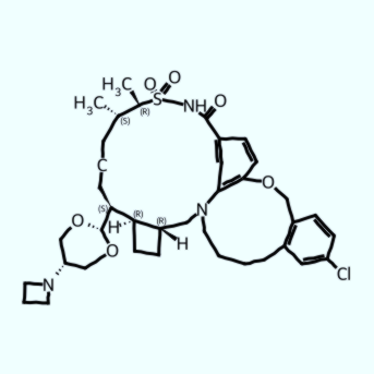 C[C@@H]1[C@@H](C)CCC[C@H]([C@H]2OC[C@@H](N3CCC3)CO2)[C@@H]2CC[C@H]2CN2CCCCc3cc(Cl)ccc3COc3ccc(cc32)C(=O)NS1(=O)=O